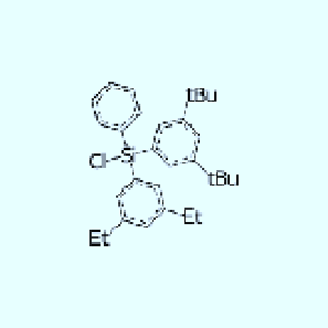 CCc1cc(CC)cc([Si](Cl)(c2ccccc2)c2cc(C(C)(C)C)cc(C(C)(C)C)c2)c1